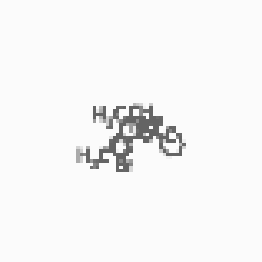 Cc1cc2c(cc1Br)C(=CC(=O)C1CCCCCC1)NC(C)(C)C2